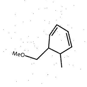 COCC1C=CC=CC1C